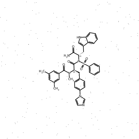 Cc1cc(C)cc(C(=O)N(C)[C@H](Cc2ccc(-n3ccnc3)cc2)C(=O)N([C@@H](Cc2c[nH]c3ccccc23)C(N)=O)S(=O)(=O)c2ccccc2)c1